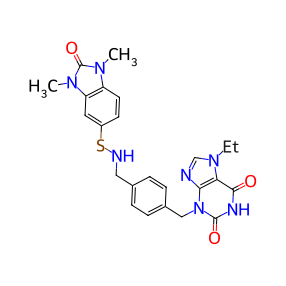 CCn1cnc2c1c(=O)[nH]c(=O)n2Cc1ccc(CNSc2ccc3c(c2)n(C)c(=O)n3C)cc1